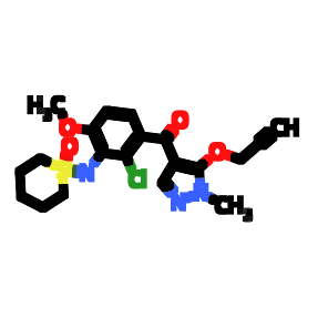 C#CCOc1c(C(=O)c2ccc(OC)c(N=S3(=O)CCCCC3)c2Cl)cnn1C